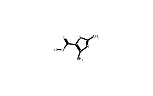 Bc1nc(C)sc1C(=O)OCC